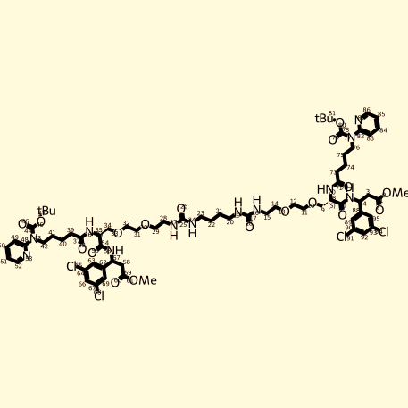 COC(=O)CC(NC(=O)[C@H](COCCOCCNC(=O)NCCCCNC(=O)NCCOCCOC[C@H](NC(=O)CCCCN(C(=O)OC(C)(C)C)c1ccccn1)C(=O)NC(CC(=O)OC)c1cc(Cl)cc(Cl)c1)NC(=O)CCCCN(C(=O)OC(C)(C)C)c1ccccn1)c1cc(Cl)cc(Cl)c1